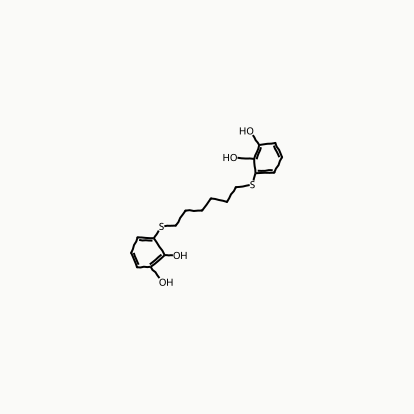 Oc1cccc(SCCCCCCSc2cccc(O)c2O)c1O